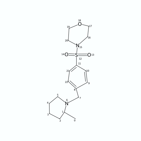 CC1CCCCN1Cc1ccc(S(=O)(=O)N2CCOCC2)cc1